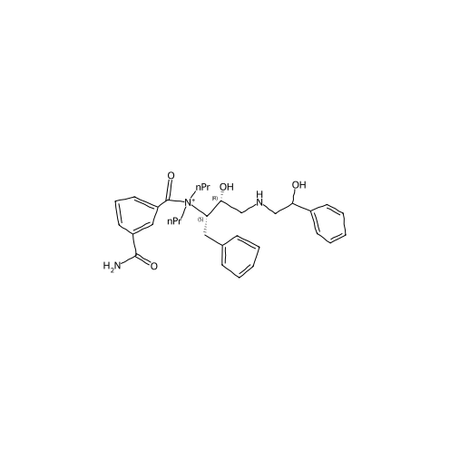 CCC[N+](CCC)(C(=O)c1cccc(C(N)=O)c1)[C@@H](Cc1ccccc1)[C@H](O)CNCC(O)c1ccccc1